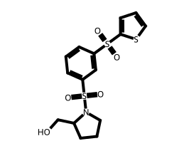 O=S(=O)(c1cccc(S(=O)(=O)N2CCCC2CO)c1)c1cccs1